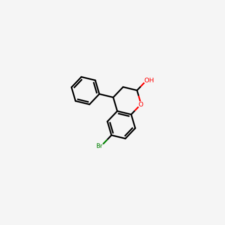 OC1CC(c2ccccc2)c2cc(Br)ccc2O1